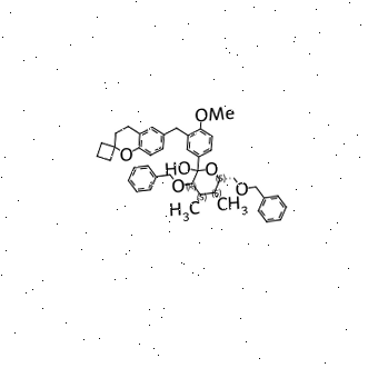 COc1ccc(C2(O)O[C@H](COCc3ccccc3)[C@@H](C)[C@H](C)[C@H]2OCc2ccccc2)cc1Cc1ccc2c(c1)CCC1(CCC1)O2